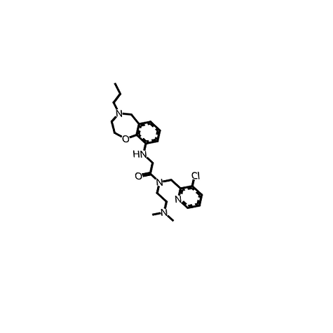 CCCN1CCOc2c(cccc2NCC(=O)N(CCN(C)C)Cc2ncccc2Cl)C1